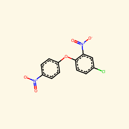 O=[N+]([O-])c1ccc(Oc2ccc(Cl)cc2[N+](=O)[O-])cc1